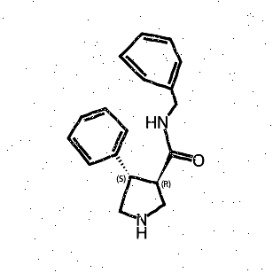 O=C(NCc1ccccc1)[C@H]1CNC[C@@H]1c1ccccc1